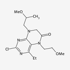 CCc1nc(Cl)nc2c1N(CCOC)C(=O)CN2CC(C)OC